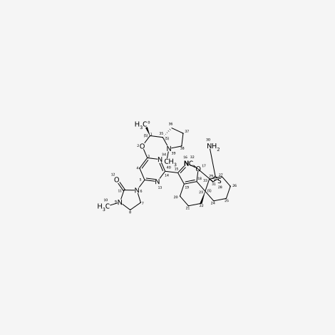 C[C@H](Oc1cc(N2CCN(C)C2=O)nc(-c2noc3c2CCC[C@@]32CCCc3sc(N)c(C#N)c32)n1)[C@@H]1CCCN1C